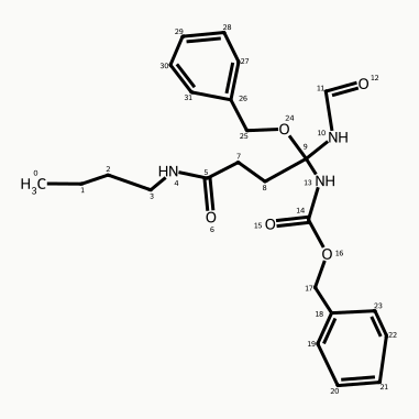 CCCCNC(=O)CCC(NC=O)(NC(=O)OCc1ccccc1)OCc1ccccc1